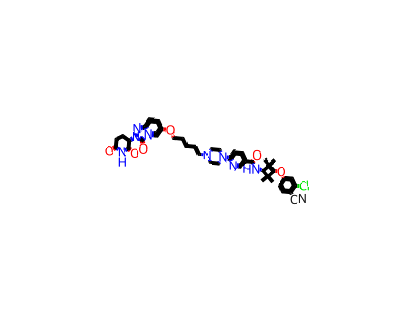 CC1(C)C(NC(=O)c2ccc(N3CCN(CCCCCOc4ccc5nn(C6CCC(=O)NC6=O)c(=O)n5c4)CC3)nc2)C(C)(C)C1Oc1ccc(C#N)c(Cl)c1